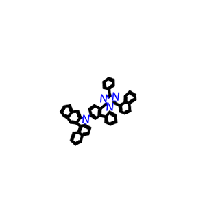 c1ccc(-c2nc(-c3ccc(-n4c5cc6ccccc6cc5c5c6ccccc6ccc54)cc3-c3ccccc3)nc(-c3cccc4ccccc34)n2)cc1